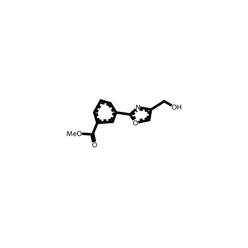 COC(=O)c1cccc(-c2nc(CO)co2)c1